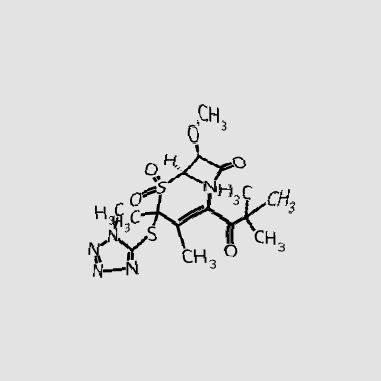 CO[C@H]1C(=O)N2C(C(=O)C(C)(C)C)=C(C)C(C)(Sc3nnnn3C)S(=O)(=O)[C@@H]12